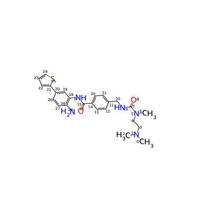 CN(C)CCN(C)C(=O)NCc1ccc(C(=O)Nc2cc(-c3cccs3)ccc2N)cc1